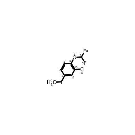 CCc1ccc(OC(F)F)c(Cl)c1